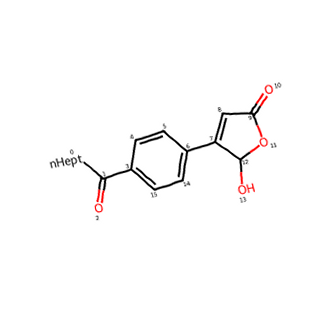 CCCCCCCC(=O)c1ccc(C2=CC(=O)OC2O)cc1